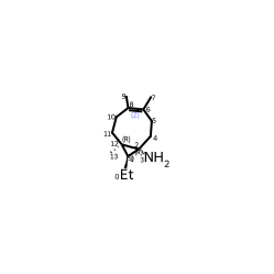 CC[C@@H]1[C@]2(N)CC/C(C)=C(/C)CC[C@]12C